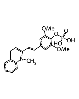 COc1cc(C=CC2=CCc3ccccc3N2C)cc(OC)c1OP(=O)(O)O